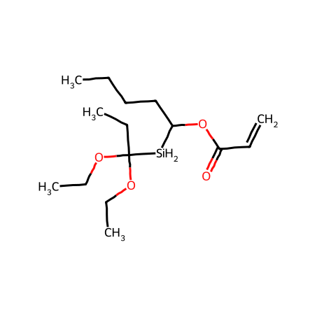 C=CC(=O)OC(CCCC)[SiH2]C(CC)(OCC)OCC